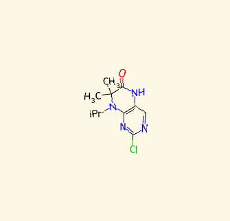 CC(C)N1c2nc(Cl)ncc2NC(=O)C1(C)C